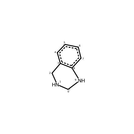 [C]1NCc2c[c]ccc2N1